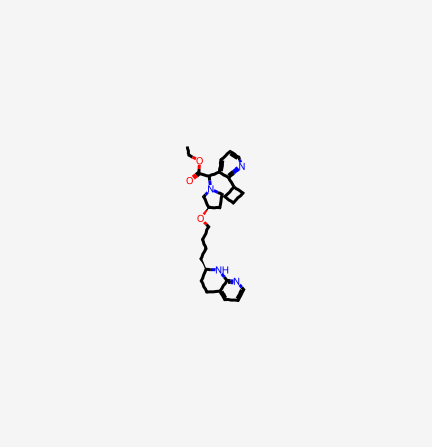 CCOC(=O)C(c1cccnc1C1CCC1)N1CC[C@@H](OCCCC[C@@H]2CCc3cccnc3N2)C1